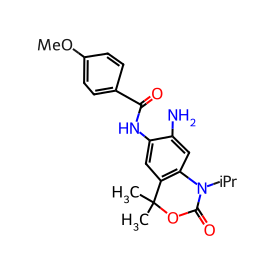 COc1ccc(C(=O)Nc2cc3c(cc2N)N(C(C)C)C(=O)OC3(C)C)cc1